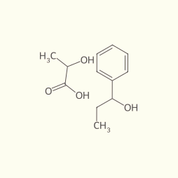 CC(O)C(=O)O.CCC(O)c1ccccc1